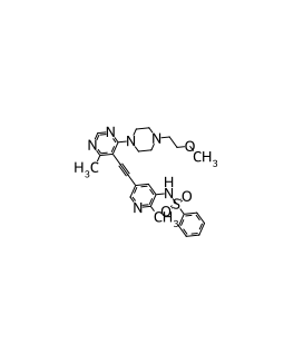 COCCN1CCN(c2ncnc(C)c2C#Cc2cnc(C)c(NS(=O)(=O)c3ccccc3)c2)CC1